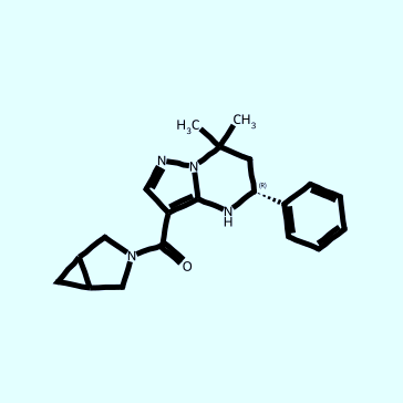 CC1(C)C[C@H](c2ccccc2)Nc2c(C(=O)N3CC4CC4C3)cnn21